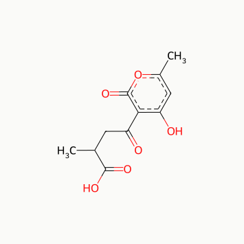 Cc1cc(O)c(C(=O)CC(C)C(=O)O)c(=O)o1